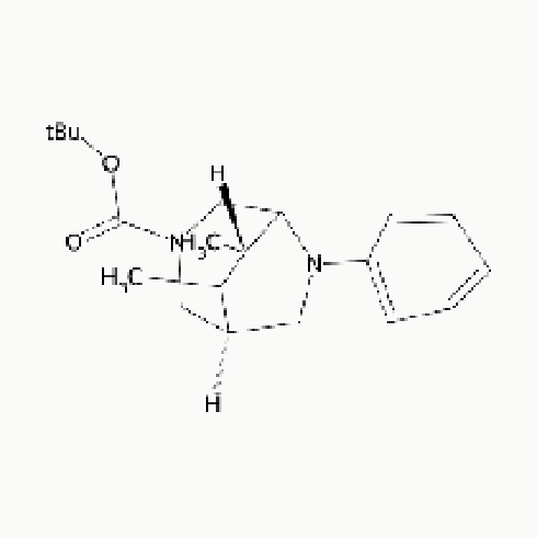 CC1[C@@H]2CN(C(=O)OC(C)(C)C)CC([C@H]1C)N(c1ccccc1)C2